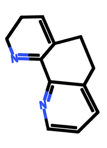 C1=C2CCc3cccnc3C2=NCC1